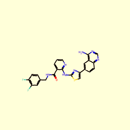 Nc1ncnc2ccc(-c3csc(Nc4ncccc4C(=O)NCc4ccc(F)c(F)c4)n3)cc12